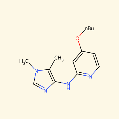 CCCCOc1ccnc(Nc2ncn(C)c2C)c1